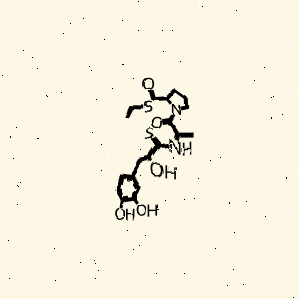 CCSC(=O)C1CCCN1C(=O)C(C)NC(=S)C(O)Cc1ccc(O)c(O)c1